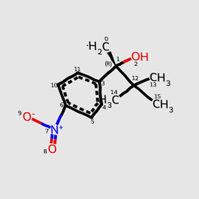 [CH2][C@](O)(c1ccc([N+](=O)[O-])cc1)C(C)(C)C